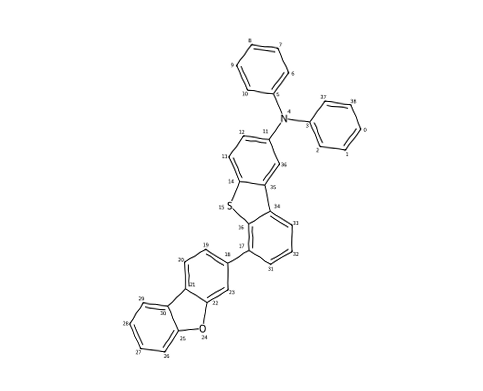 c1ccc(N(c2ccccc2)c2ccc3sc4c(-c5ccc6c(c5)oc5ccccc56)cccc4c3c2)cc1